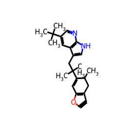 CC1Cc2c#coc2C=C1C(C)(C)Cc1c[nH]c2ncc(C(C)(C)C)cc12